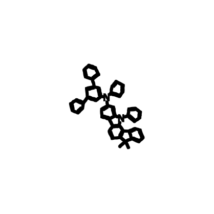 CC1(C)c2ccccc2-c2c1ccc1c3ccc(N(c4ccccc4)c4cc(-c5ccccc5)cc(-c5ccccc5)c4)cc3n(-c3ccccc3)c21